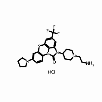 Cl.NCCN1CCC(n2c(=O)n3c4c(cc(C(F)(F)F)cc42)Sc2cc(N4CCCC4)ccc2-3)CC1